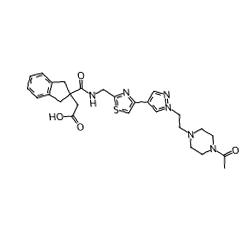 CC(=O)N1CCN(CCn2cc(-c3csc(CNC(=O)C4(CC(=O)O)Cc5ccccc5C4)n3)cn2)CC1